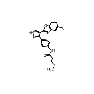 CSCCC(=O)Nc1ccc(-c2n[nH]cc2-c2nc3cc(Cl)ccc3o2)cc1